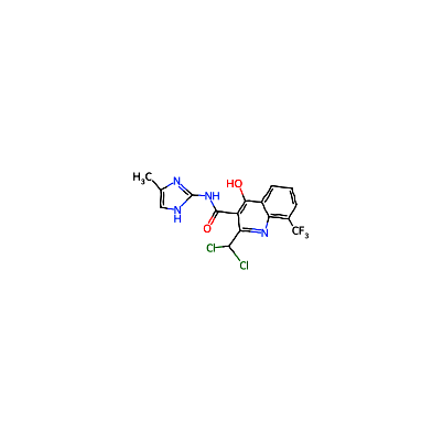 Cc1c[nH]c(NC(=O)c2c(C(Cl)Cl)nc3c(C(F)(F)F)cccc3c2O)n1